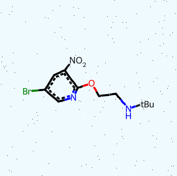 CC(C)(C)NCCOc1ncc(Br)cc1[N+](=O)[O-]